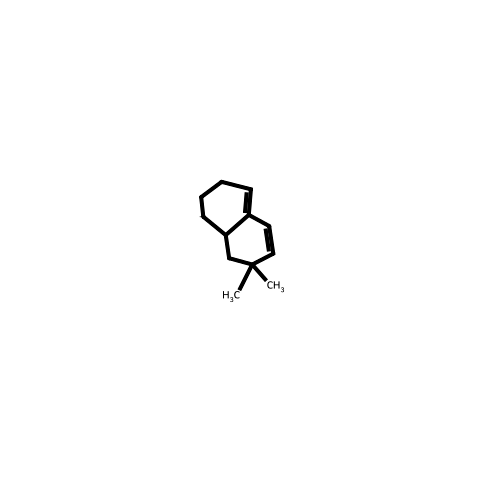 CC1(C)C=CC2=CCC[CH]C2C1